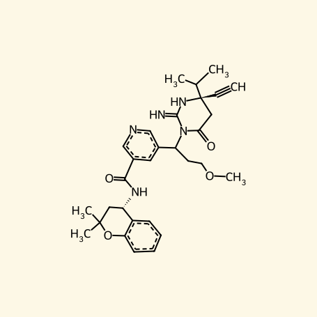 C#C[C@@]1(C(C)C)CC(=O)N(C(CCOC)c2cncc(C(=O)N[C@H]3CC(C)(C)Oc4ccccc43)c2)C(=N)N1